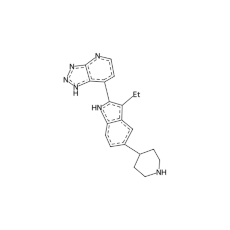 CCc1c(-c2ccnc3nn[nH]c23)[nH]c2ccc(C3CCNCC3)cc12